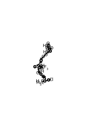 CC1(C)CCC(c2ccc(Cl)cc2)=C(CN2CCN(c3ccc(C(=O)NSc4ccc(N[C@H](CCN5CCN(CCOCCOCCNc6cccc7c6C(=O)N(C6CCC(=O)NC6=O)C7=O)CC5)CSc5ccccc5)c(S(=O)(=O)C(F)(F)F)c4)cc3)CC2)C1